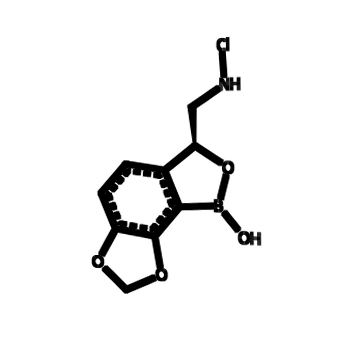 OB1O[C@H](CNCl)c2ccc3c(c21)OCO3